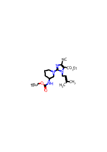 [C-]#[N+]c1nc(N2CCCC(NC(=O)OC(C)(C)C)C2)n(CC=C(C)C)c1C(=O)OCC